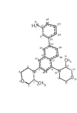 CC1COCCN1c1nc(N2CCOCC2C)c2ccc(-c3ccnc(N)c3)nc2n1